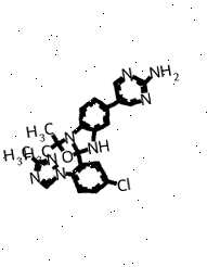 Cc1ncn(-c2ccc(Cl)cc2C23Nc4cc(-c5cnc(N)nc5)ccc4N2C(C)(C)O3)n1